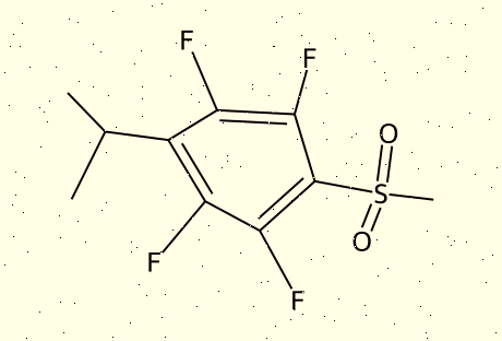 CC(C)c1c(F)c(F)c(S(C)(=O)=O)c(F)c1F